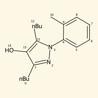 CCCCc1nn(-c2ccccc2C)c(CCCC)c1O